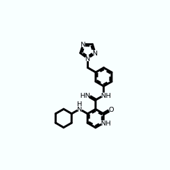 N=C(Nc1cccc(Cn2cncn2)c1)c1c(NC2CCCCC2)cc[nH]c1=O